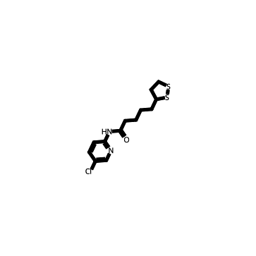 O=C(CCCCC1CCSS1)Nc1ccc(Cl)cn1